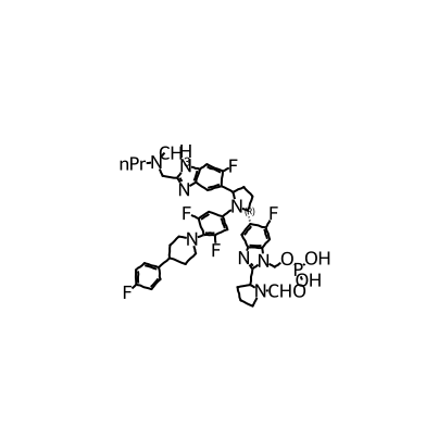 CCCN(C)Cc1nc2cc(C3CC[C@H](c4cc5nc(C6CCCN6C=O)n(COP(O)O)c5cc4F)N3c3cc(F)c(N4CCC(c5ccc(F)cc5)CC4)c(F)c3)c(F)cc2[nH]1